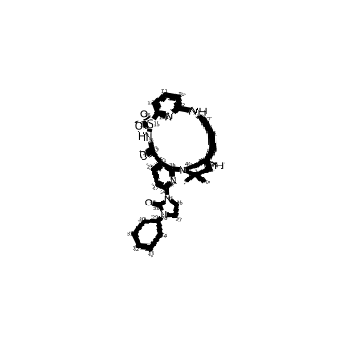 CC1(C)C[C@@H]2CCCNc3cccc(n3)S(=O)(=O)NC(=O)c3ccc(N4CCN(C5CCCCC5)C4=O)nc3N1C2